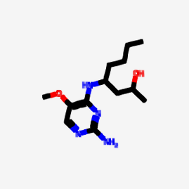 CCCCC(CC(C)O)Nc1nc(N)ncc1OC